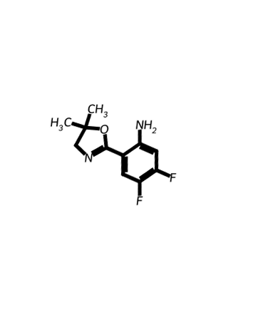 CC1(C)CN=C(c2cc(F)c(F)cc2N)O1